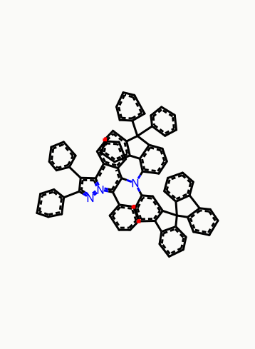 c1ccc(-c2nn3c(-c4ccccc4)c(N(c4ccc5c(c4)C4(c6ccccc6-c6ccccc64)c4ccccc4-5)c4cccc5c4-c4ccccc4C5(c4ccccc4)c4ccccc4)c4ccccc4c3c2-c2ccccc2)cc1